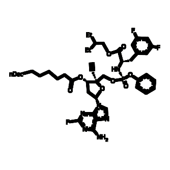 C#C[C@]1(CO[P@@](=O)(N[C@@H](Cc2cc(F)cc(F)c2)C(=O)OCC(CC)CC)Oc2ccccc2)O[C@@H](n2cnc3c(N)nc(F)nc32)C[C@@H]1OC(=O)CCCCCCCCCCCCCCC